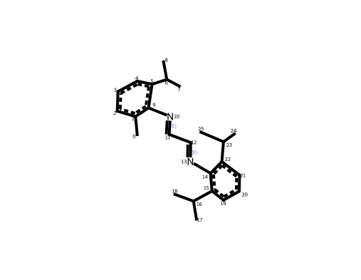 Cc1cccc(C(C)C)c1/N=C/C=N/c1c(C(C)C)cccc1C(C)C